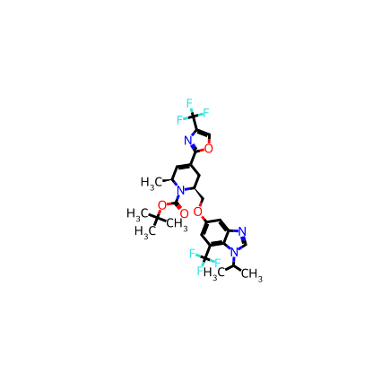 CC(C)n1cnc2cc(OC[C@@H]3CC(c4nc(C(F)(F)F)co4)=C[C@H](C)N3C(=O)OC(C)(C)C)cc(C(F)(F)F)c21